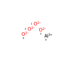 [Al+3].[O-2].[O-2].[O-2].[O-2]